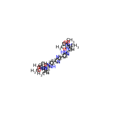 COC(=O)N[C@H](C(=O)N1[C@@H]2[C@H](C)[C@@H]2C[C@H]1c1nc2ccc(-c3cnc4cc(-c5ccc6nc([C@@H]7C[C@H]8[C@@H](C)[C@H]8N7C(=O)[C@@H](NC(=O)OC)C(C)C)[nH]c6c5)cnc4c3)cc2[nH]1)C(C)C